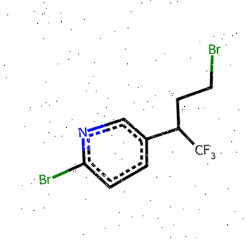 FC(F)(F)C(CCBr)c1ccc(Br)nc1